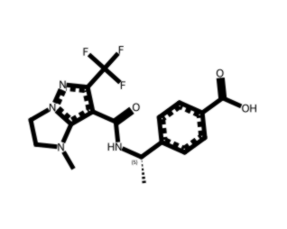 C[C@H](NC(=O)c1c(C(F)(F)F)nn2c1N(C)CC2)c1ccc(C(=O)O)cc1